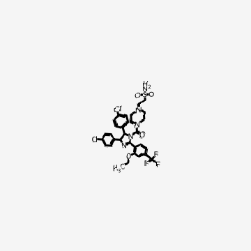 CCOc1cc(C(F)(F)F)ccc1C1=NC(c2ccc(Cl)cc2)C(c2ccc(Cl)cc2)N1C(=O)N1CCN(CCS(N)(=O)=O)CC1